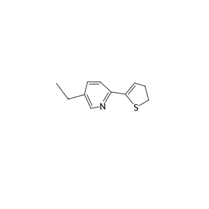 CCc1ccc(C2=CCCS2)nc1